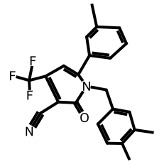 Cc1cccc(-c2cc(C(F)(F)F)c(C#N)c(=O)n2Cc2ccc(C)c(C)c2)c1